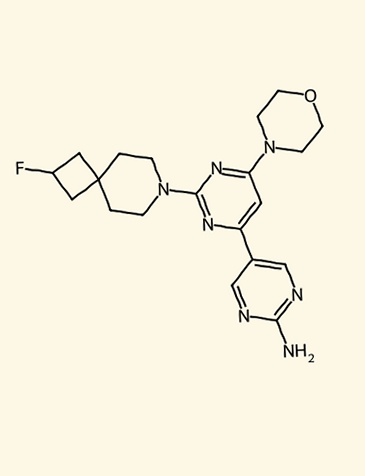 Nc1ncc(-c2cc(N3CCOCC3)nc(N3CCC4(CC3)CC(F)C4)n2)cn1